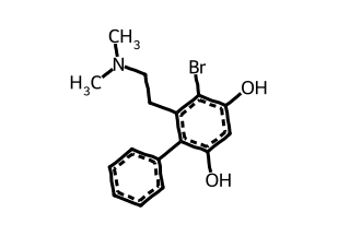 CN(C)CCc1c(Br)c(O)cc(O)c1-c1ccccc1